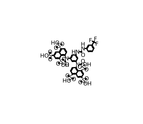 O=CN(c1cc(NC(=O)Nc2cccc(C(F)(F)F)c2)cc(N(C=O)c2ccc(S(=O)(=O)O)c3cc(S(=O)(=O)O)cc(S(=O)(=O)O)c23)c1)c1ccc(S(=O)(=O)O)c2cc(S(=O)(=O)O)cc(S(=O)(=O)O)c12